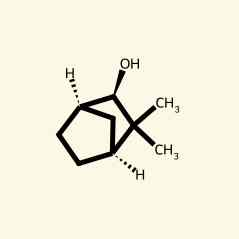 CC1(C)[C@H]2CC[C@H](C2)[C@H]1O